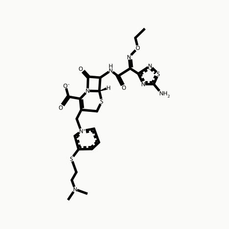 CCON=C(C(=O)NC1C(=O)N2C(C(=O)[O-])=C(C[n+]3cccc(SCCN(C)C)c3)CS[C@@H]12)c1nsc(N)n1